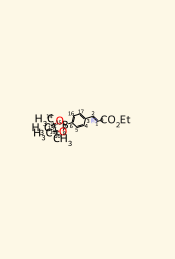 CCOC(=O)/C=C/c1ccc(B2OC(C)(C)C(C)(C)O2)cc1